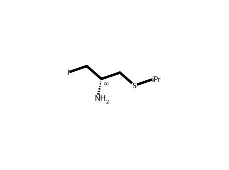 CC(C)SC[C@H](N)CI